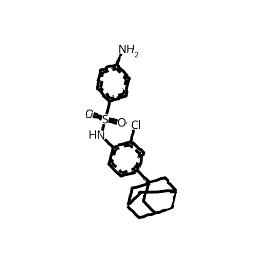 Nc1ccc(S(=O)(=O)Nc2ccc(C34CC5CC(CC(C5)C3)C4)cc2Cl)cc1